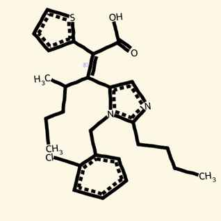 CCCCc1ncc(/C(=C(\C(=O)O)c2cccs2)C(C)CCC)n1Cc1ccccc1Cl